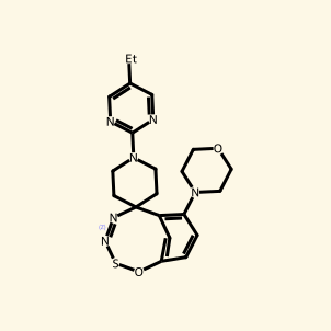 CCc1cnc(N2CCC3(CC2)/N=N\SOc2ccc(N4CCOCC4)c3c2)nc1